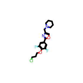 Fc1cc(-c2nc(CN3CCCCC3)co2)cc(F)c1OCCCCl